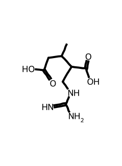 CC(CC(=O)O)C(CNC(=N)N)C(=O)O